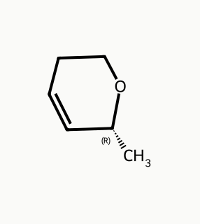 C[C@@H]1C=CCCO1